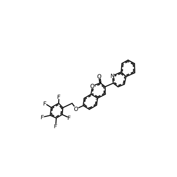 O=c1oc2cc(OCc3c(F)c(F)c(F)c(F)c3F)ccc2cc1-c1ccc2ccccc2n1